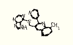 Cc1cccc2cc(CSc3ncnc4nc[nH]c34)c(-c3cccnc3)nc12